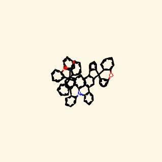 c1ccc(-c2ccc(-c3ccccc3N(c3ccccc3-c3ccc4c(c3)C3(c5ccccc5Oc5ccccc53)c3ccccc3-4)c3cccc4c3-c3ccccc3C43c4ccccc4Oc4ccccc43)cc2)cc1